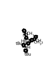 Cn1c(-c2ccccc2)nc2cc3c(cc21)-n1c2cc4c(cc2c2ccc(-c5cc(C(C)(C)C)ccc5Nc5ccc(C(C)(C)C)cc5)c(c21)B3)C(C)(C)c1ccccc1-4